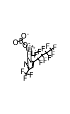 FC(F)(F)c1cc(C(F)(F)C(F)(F)C(F)(F)C(F)(F)F)[nH]n1.[Li+].[Li+].[Li+].[O-]B([O-])[O-]